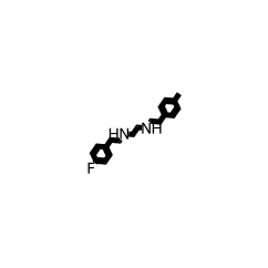 Cc1ccc(CCNCCNCCc2ccc(F)cc2)cc1